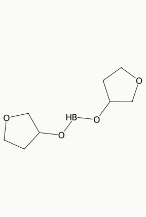 B(OC1CCOC1)OC1CCOC1